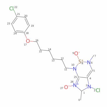 CC1N(Cl)C2=CN(C)[S+]([O-])N(CCCCCCOc3ccc(Cl)cc3)C2=[N+]1[O-]